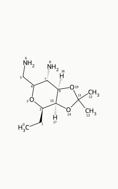 CC[C@H]1OC(CN)[C@H](N)[C@H]2OC(C)(C)O[C@H]21